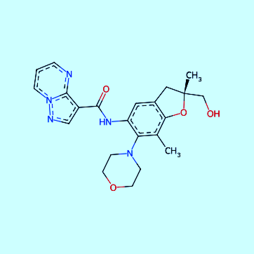 Cc1c2c(cc(NC(=O)c3cnn4cccnc34)c1N1CCOCC1)C[C@](C)(CO)O2